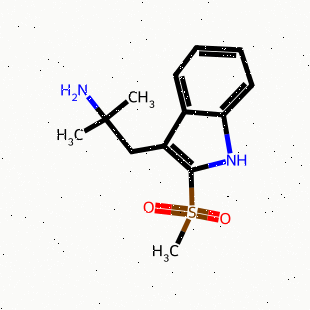 CC(C)(N)Cc1c(S(C)(=O)=O)[nH]c2ccccc12